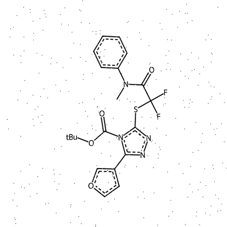 CN(C(=O)C(F)(F)Sc1nnc(-c2ccoc2)n1C(=O)OC(C)(C)C)c1ccccc1